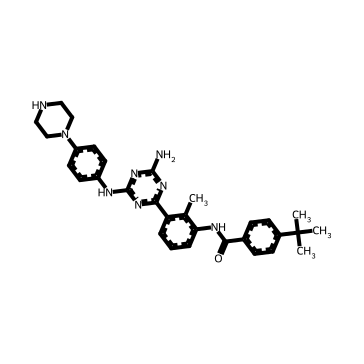 Cc1c(NC(=O)c2ccc(C(C)(C)C)cc2)cccc1-c1nc(N)nc(Nc2ccc(N3CCNCC3)cc2)n1